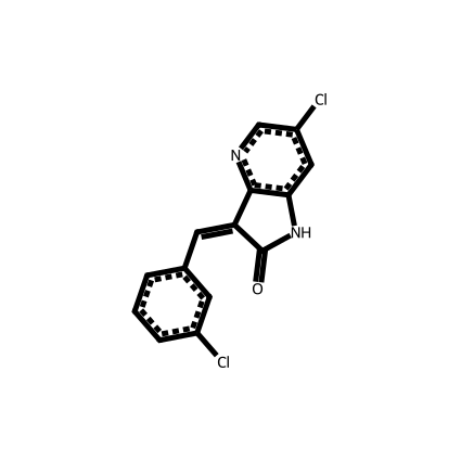 O=C1Nc2cc(Cl)cnc2C1=Cc1cccc(Cl)c1